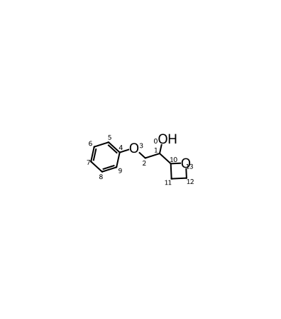 OC(COc1ccccc1)C1CCO1